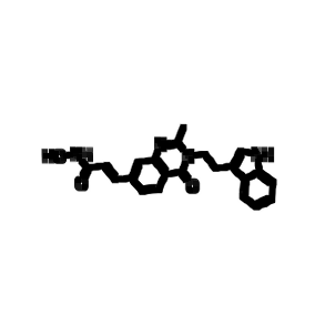 Cc1nc2cc(C=CC(=O)NO)ccc2c(=O)n1CCc1c[nH]c2ccccc12